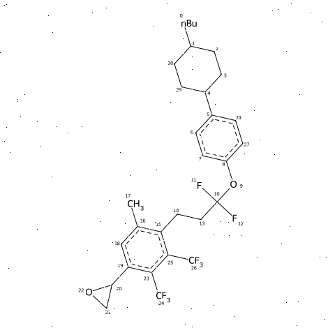 CCCCC1CCC(c2ccc(OC(F)(F)CCc3c(C)cc(C4CO4)c(C(F)(F)F)c3C(F)(F)F)cc2)CC1